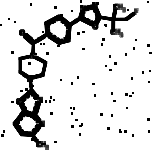 Cc1ccc2oc(N3CCN(C(=O)c4ccc(-c5nnc(C(C)(C)CF)o5)cc4)CC3)nc2n1